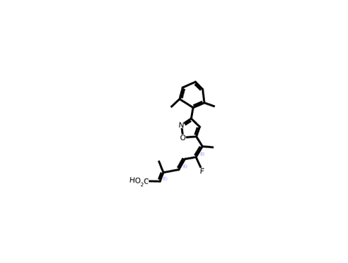 CC(/C=C/C(F)=C(/C)c1cc(-c2c(C)cccc2C)no1)=C\C(=O)O